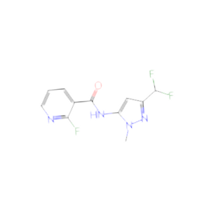 Cn1nc(C(F)F)cc1NC(=O)c1cccnc1F